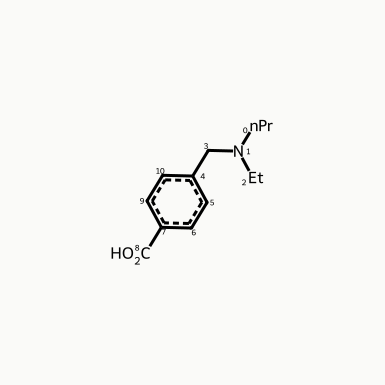 CCCN(CC)Cc1ccc(C(=O)O)cc1